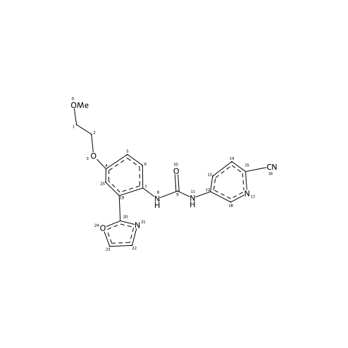 COCCOc1ccc(NC(=O)Nc2ccc(C#N)nc2)c(-c2ncco2)c1